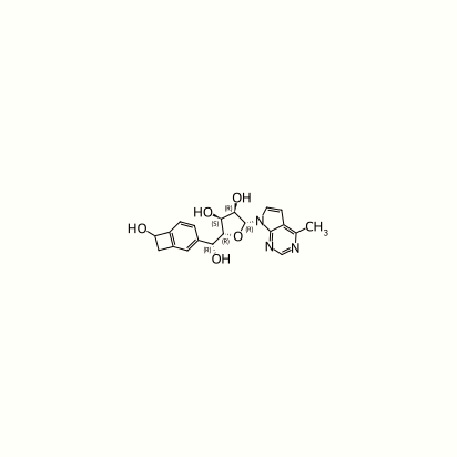 Cc1ncnc2c1ccn2[C@@H]1O[C@H]([C@H](O)c2ccc3c(c2)CC3O)[C@@H](O)[C@H]1O